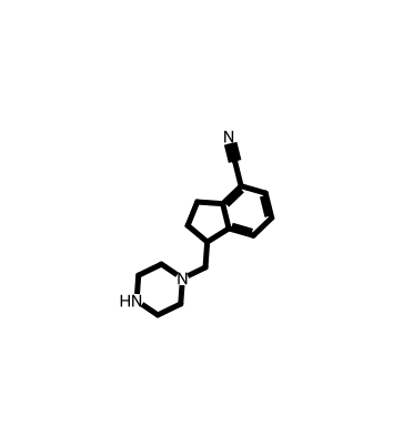 N#Cc1cccc2c1CCC2CN1CCNCC1